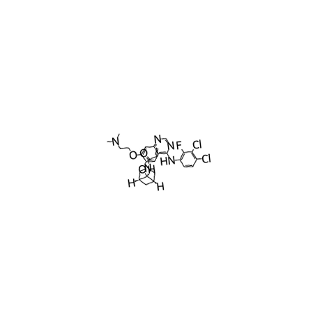 C=CC(=O)N1C[C@H]2C[C@@H](C1)[C@H]2Oc1cc2c(Nc3ccc(Cl)c(Cl)c3F)ncnc2cc1OCCN(C)C